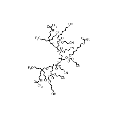 CCC(=O)OCCCCCCOP(=O)(OCCC#N)OCC(C)(COP(=O)(OCCC#N)OC(COCC(CCCNC(=O)C(F)(F)F)(CCCC(F)(F)F)CCCC(F)(F)F)COP(=O)(OCCC#N)OCCCCCCO)COP(=O)(OCCC#N)OC(COCC(CCCNC(=O)C(F)(F)F)(CCCC(F)(F)F)CCCC(F)(F)F)COP(=O)(OCCC#N)OCCCCCCO